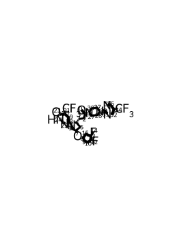 O=C(CC[C@@H]1C[C@@H](Oc2ccc(F)c(F)c2)CN1c1cc(C(F)(F)F)c(=O)[nH]n1)N1CCN(c2ncc(C(F)(F)F)cn2)CC1